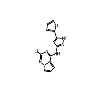 Clc1nc(Nc2cc(-c3ccco3)[nH]n2)c2cccn2n1